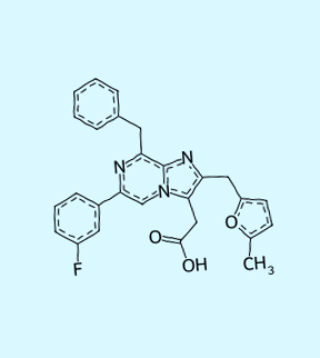 Cc1ccc(Cc2nc3c(Cc4ccccc4)nc(-c4cccc(F)c4)cn3c2CC(=O)O)o1